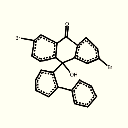 O=C1c2cc(Br)ccc2C(O)(c2ccccc2-c2ccccc2)c2cc(Br)ccc21